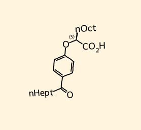 CCCCCCCC[C@H](Oc1ccc(C(=O)CCCCCCC)cc1)C(=O)O